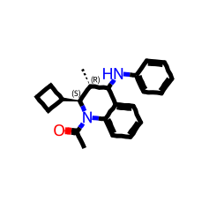 CC(=O)N1c2ccccc2C(Nc2ccccc2)[C@@H](C)[C@@H]1C1CCC1